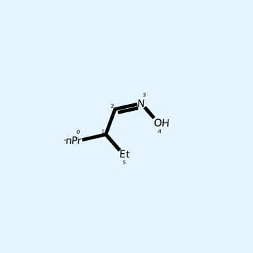 CC[CH]C(/C=N\O)CC